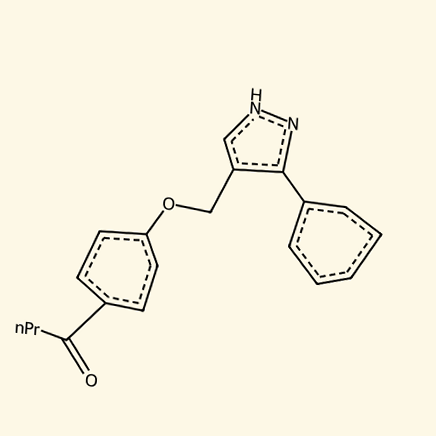 CCCC(=O)c1ccc(OCc2c[nH]nc2-c2ccccc2)cc1